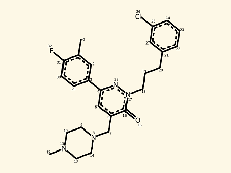 Cc1cc(-c2cc(CN3CCN(C)CC3)c(=O)n(CCCc3cccc(Cl)c3)n2)ccc1F